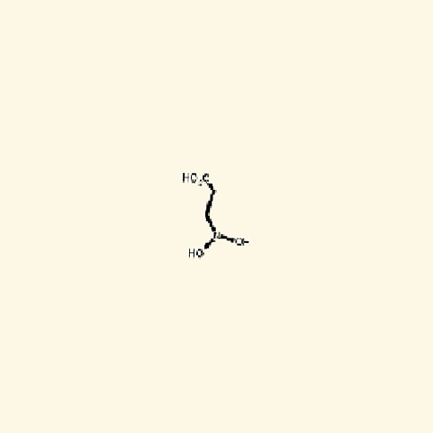 O=C(O)CCN(O)O